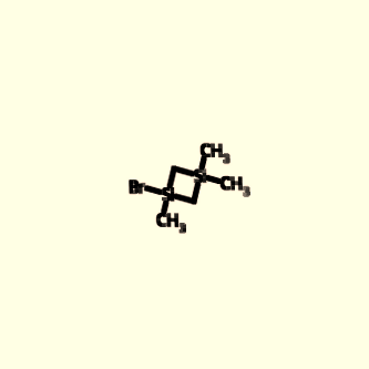 C[Si]1(C)C[Si](C)(Br)C1